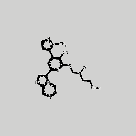 COCC[S+]([O-])CSc1nc(-c2cnc3cnccn23)cc(-c2ccnn2C)c1C#N